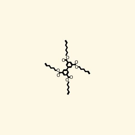 C=CCCCCCOC(=O)c1cc(C(=O)OCCCCC=C)cc(-c2cc(C(=O)OCCCCC=C)cc(C(=O)OCCCCC=C)c2)c1